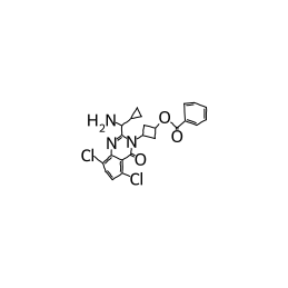 NC(c1nc2c(Cl)ccc(Cl)c2c(=O)n1C1CC(OC(=O)c2ccccc2)C1)C1CC1